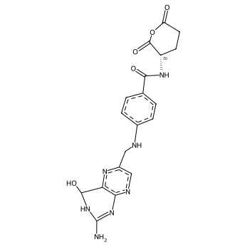 NC1=Nc2ncc(CNc3ccc(C(=O)N[C@H]4CCC(=O)OC4=O)cc3)nc2C(O)N1